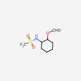 O=COC1CCCCC1NS(=O)(=O)C(F)(F)F